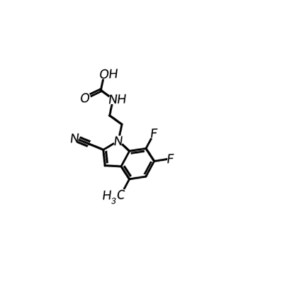 Cc1cc(F)c(F)c2c1cc(C#N)n2CCNC(=O)O